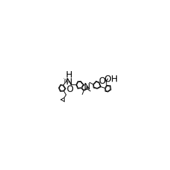 Cc1c(C)n(Cc2ccc(-c3ccccc3C(=O)O)cc2)c2ccc(C(=O)N[C@@H](C)c3cccc(CC4CC4)c3)cc12